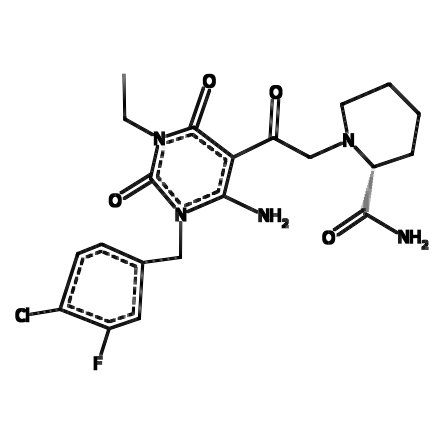 CCn1c(=O)c(C(=O)CN2CCCC[C@@H]2C(N)=O)c(N)n(Cc2ccc(Cl)c(F)c2)c1=O